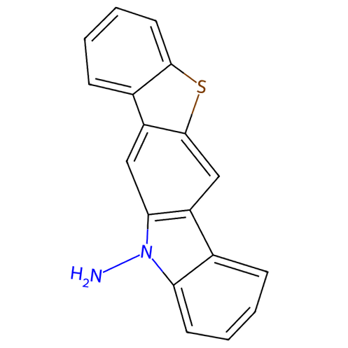 Nn1c2ccccc2c2cc3sc4ccccc4c3cc21